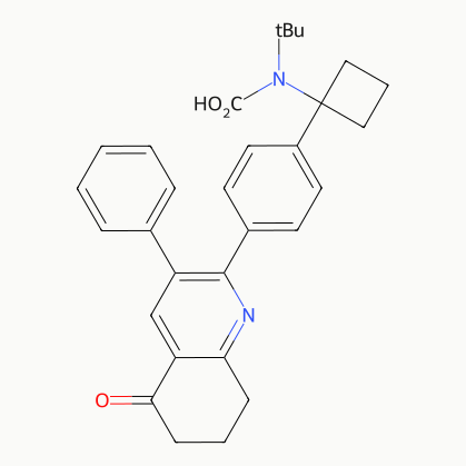 CC(C)(C)N(C(=O)O)C1(c2ccc(-c3nc4c(cc3-c3ccccc3)C(=O)CCC4)cc2)CCC1